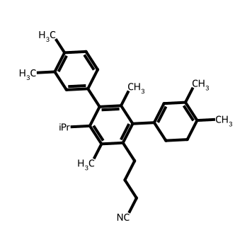 CC1=C(C)CCC(c2c(C)c(-c3ccc(C)c(C)c3)c(C(C)C)c(C)c2CCCC#N)=C1